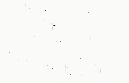 C=CC(=O)N[C@H]1CCC=C(c2c(F)c(F)c(C(N)=O)c3[nH]c(C)c(Cl)c23)C1